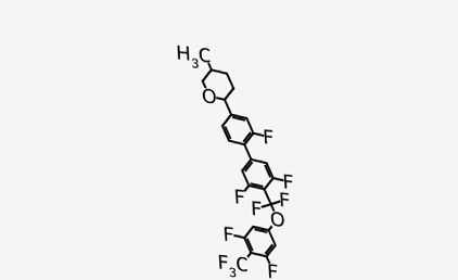 CC1CCC(c2ccc(-c3cc(F)c(C(F)(F)Oc4cc(F)c(C(F)(F)F)c(F)c4)c(F)c3)c(F)c2)OC1